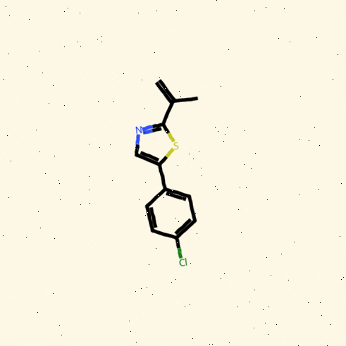 C=C(C)c1ncc(-c2ccc(Cl)cc2)s1